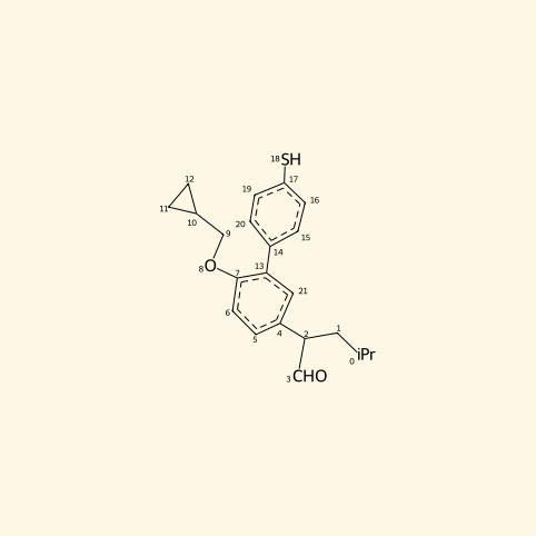 CC(C)CC(C=O)c1ccc(OCC2CC2)c(-c2ccc(S)cc2)c1